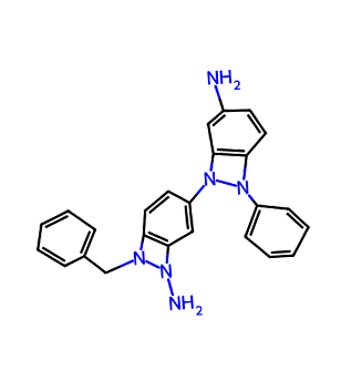 Nc1ccc2c(c1)n(-c1ccc3c(c1)n(N)n3Cc1ccccc1)n2-c1ccccc1